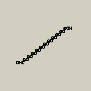 O=COOOOOOOOOOOOOOOOOOOOOO